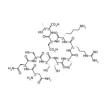 C[C@@H](O)[C@H](NC(=O)[C@H](CC(=O)O)NC(=O)[C@H](CCCCN)NC(=O)[C@H](CCCNC(=N)N)NC(=O)[C@H](CS)NC(=O)[C@H](CS)NC(=O)[C@H](CS)NC(=O)[C@H](CS)NC(=O)[C@H](CC(N)=O)NC(=O)[C@@H](N)CC(N)=O)C(=O)O